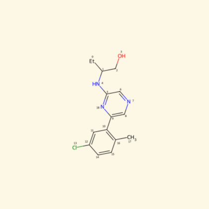 CCC(CO)Nc1cncc(-c2cc(Cl)ccc2C)n1